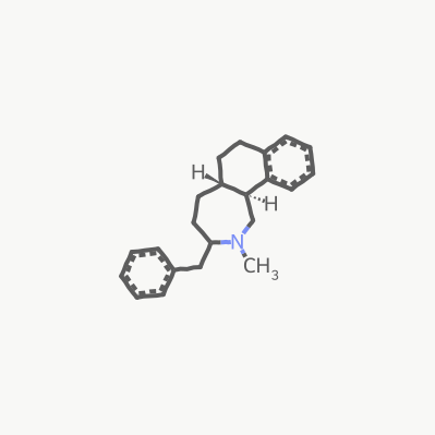 CN1C[C@@H]2c3ccccc3CC[C@H]2CCC1Cc1ccccc1